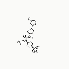 CN(C(=O)Nc1ccc(-c2cccc(F)c2)cn1)C1CCN([S+](C)[O-])CC1